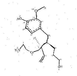 C=C[C@@](C)(OCN)[C@H](CCCO)Cc1ccc(O)c(OC)c1